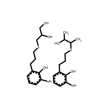 CCCc1cccc(CCCSC(C)C(C)O)c1O.CCCc1cccc(CCCSCC(O)CO)c1O